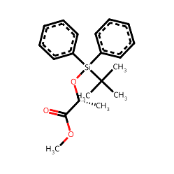 COC(=O)[C@@H](C)O[Si](c1ccccc1)(c1ccccc1)C(C)(C)C